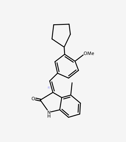 COc1ccc(/C=C2/C(=O)Nc3cccc(C)c32)cc1C1CCCC1